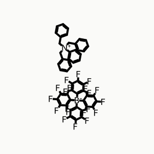 Fc1c(F)c(F)c([B-](c2c(F)c(F)c(F)c(F)c2F)(c2c(F)c(F)c(F)c(F)c2F)c2c(F)c(F)c(F)c(F)c2F)c(F)c1F.c1ccc(C[N+](Cc2ccccc2)(Cc2ccccc2)c2ccccc2)cc1